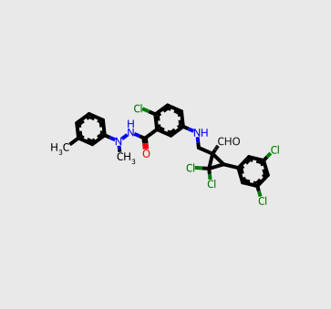 Cc1cccc(N(C)NC(=O)c2cc(NCC3(C=O)C(c4cc(Cl)cc(Cl)c4)C3(Cl)Cl)ccc2Cl)c1